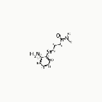 CN(C)C(=O)CCCSc1ccccc1N